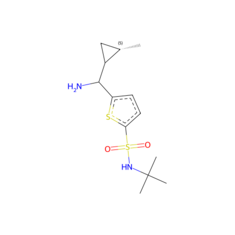 C[C@H]1CC1C(N)c1ccc(S(=O)(=O)NC(C)(C)C)s1